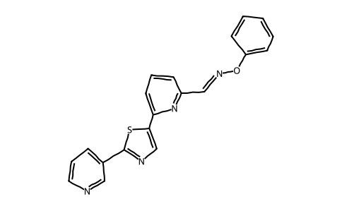 C(=NOc1ccccc1)c1cccc(-c2cnc(-c3cccnc3)s2)n1